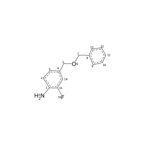 Nc1ccc(COCc2ccccc2)cc1F